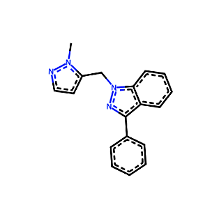 Cn1nccc1Cn1nc(-c2ccccc2)c2ccccc21